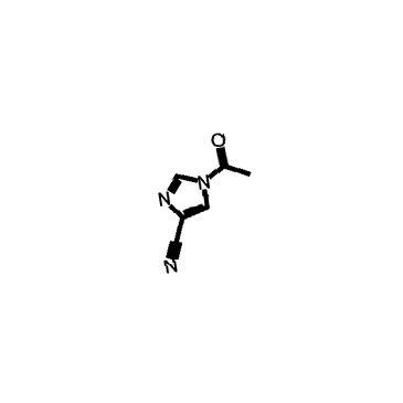 CC(=O)n1cnc(C#N)c1